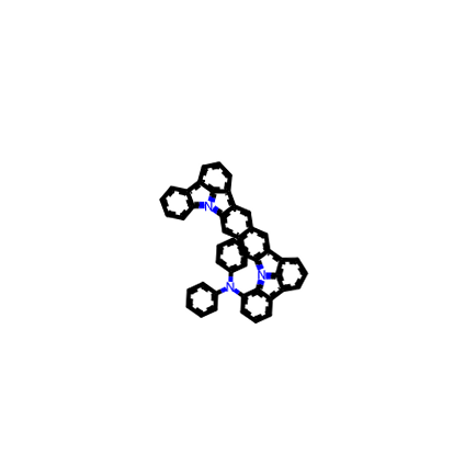 c1ccc(N(c2ccccc2)c2cccc3c4cccc5c6cc7cc8c9cccc%10c%11ccccc%11n(c8cc7cc6n(c23)c54)c%109)cc1